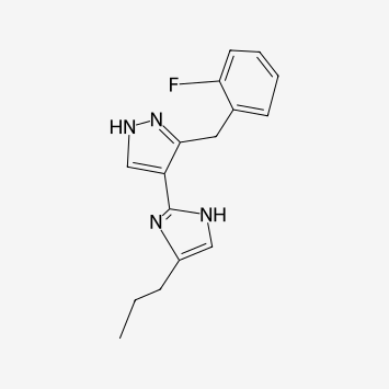 CCCc1c[nH]c(-c2c[nH]nc2Cc2ccccc2F)n1